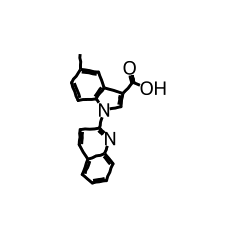 Cc1ccc2c(c1)c(C(=O)O)cn2-c1ccc2ccccc2n1